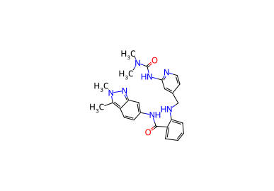 Cc1c2ccc(NC(=O)c3ccccc3NCc3ccnc(NC(=O)N(C)C)c3)cc2nn1C